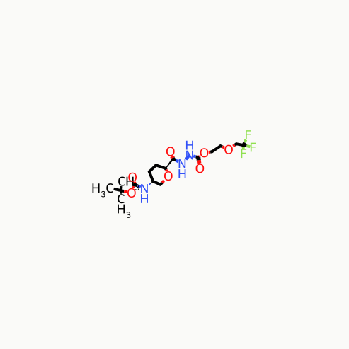 CC(C)(C)OC(=O)N[C@@H]1CC[C@@H](C(=O)NNC(=O)OCCOCC(F)(F)F)OC1